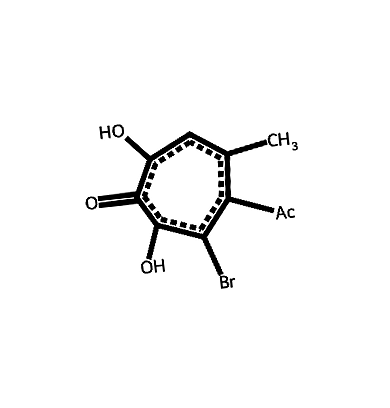 CC(=O)c1c(C)cc(O)c(=O)c(O)c1Br